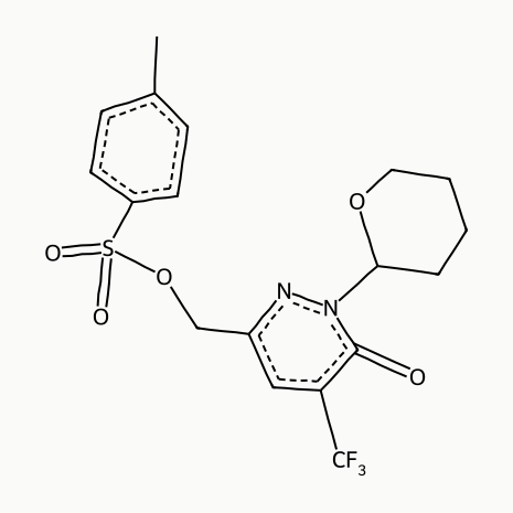 Cc1ccc(S(=O)(=O)OCc2cc(C(F)(F)F)c(=O)n(C3CCCCO3)n2)cc1